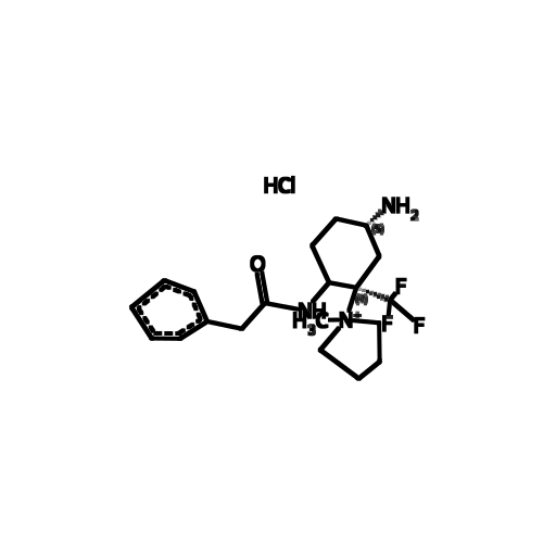 C[N+]1([C@]2(C(F)(F)F)C[C@@H](N)CCC2NC(=O)Cc2ccccc2)CCCC1.Cl